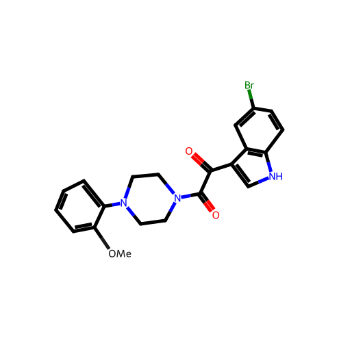 COc1ccccc1N1CCN(C(=O)C(=O)c2c[nH]c3ccc(Br)cc23)CC1